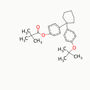 CC(C)(C)Oc1ccc(C2(c3ccc(OC(=O)C(C)(C)C)cc3)CCCCC2)cc1